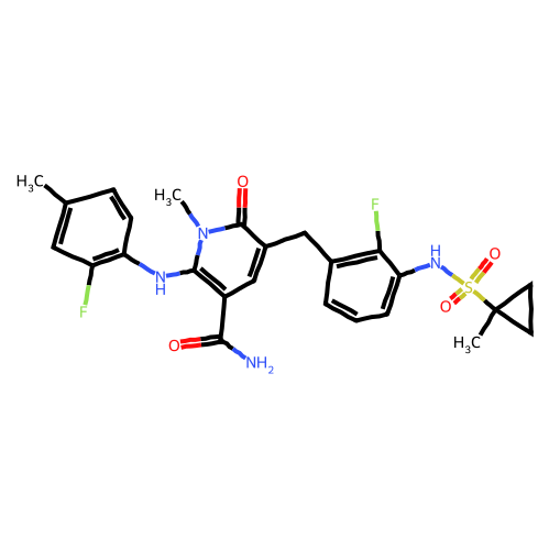 Cc1ccc(Nc2c(C(N)=O)cc(Cc3cccc(NS(=O)(=O)C4(C)CC4)c3F)c(=O)n2C)c(F)c1